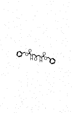 O=C(CNC(=O)OCc1ccccc1)CNC(=O)OCc1ccccc1